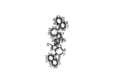 CC1=CC2=C(C=CC=CC2c2cccc3ccccc23)C1[Si](C)(C)C1C(C)=CC2=C1C=CC=CC2c1cccc2ccccc12